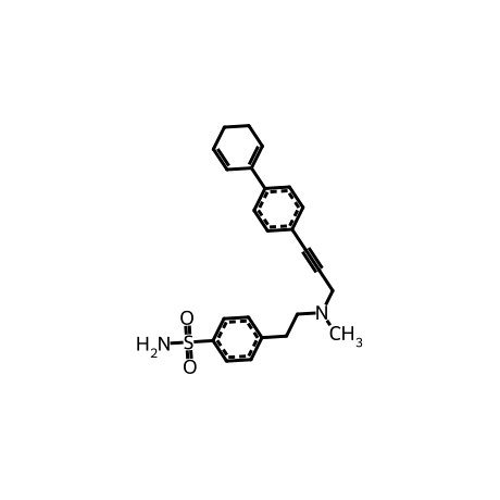 CN(CC#Cc1ccc(C2=CCCC=C2)cc1)CCc1ccc(S(N)(=O)=O)cc1